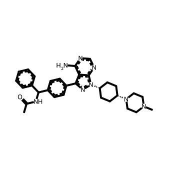 CC(=O)NC(c1ccccc1)c1ccc(-c2nn([C@H]3CC[C@@H](N4CCN(C)CC4)CC3)c3ncnc(N)c23)cc1